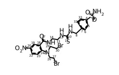 NS(=O)(=O)c1ccc(CNC(=S)NCCNC(=O)c2cc([N+](=O)[O-])ccc2N(CCBr)CCBr)cc1